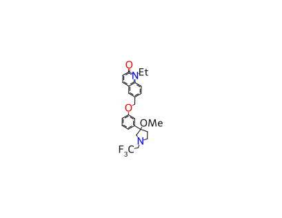 CCn1c(=O)ccc2cc(COc3cccc(C4(OC)CCN(CC(F)(F)F)C4)c3)ccc21